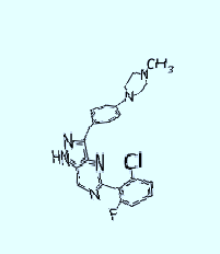 CN1CCN(c2ccc(-c3n[nH]c4cnc(-c5c(F)cccc5Cl)nc34)cc2)CC1